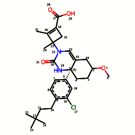 COC1CC[C@@]2(c3ccc(CCC(C)(C)C)c(Cl)c3)NC(=O)N(C3(C)CC(C(=O)O)=C3C)C=C2C1